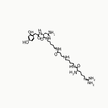 NC(=O)C[C@H](NC(=O)Cc1ccc(O)cc1O)C(=O)NCCCCCNC(=O)CCNCCCCNC(=O)[C@@H](N)CCCN=C(N)N